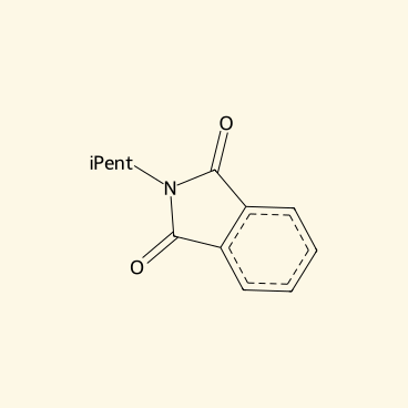 [CH2]CCC(C)N1C(=O)c2ccccc2C1=O